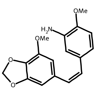 COc1ccc(/C=C\c2cc(OC)c3c(c2)OCO3)cc1N